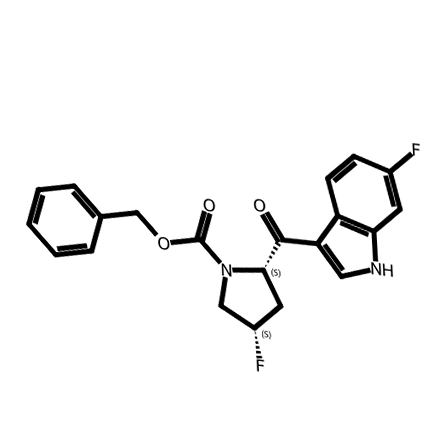 O=C(c1c[nH]c2cc(F)ccc12)[C@@H]1C[C@H](F)CN1C(=O)OCc1ccccc1